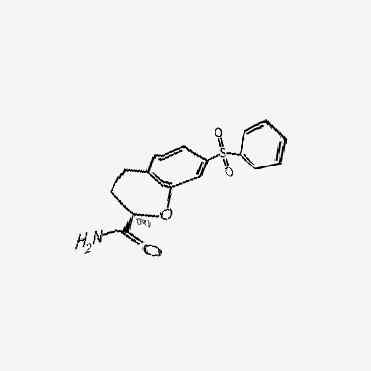 NC(=O)[C@H]1CCc2ccc(S(=O)(=O)c3ccccc3)cc2O1